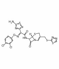 Nc1nc(C(=NOc2ccc(Cl)c(Cl)c2)C(=O)NC2C(=O)N3C=C(CSc4nncs4)CS[C@@H]23)ns1